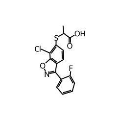 CC(Sc1ccc2c(-c3ccccc3F)noc2c1Cl)C(=O)O